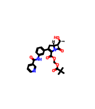 C[C@@H](O)[C@H]1C(=O)N2C(C(=O)OCOC(=O)C(C)(C)C)=C(c3cccc(NC(=O)c4cccnc4)c3)C[C@H]12